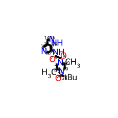 C[C@@H]1CN(C(=O)C(=O)Nc2cncc3cn[nH]c23)[C@@H](C)CN1C(=O)C(C)(C)C